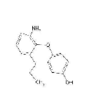 CCCc1cccc(N)c1Oc1ccc(O)cc1